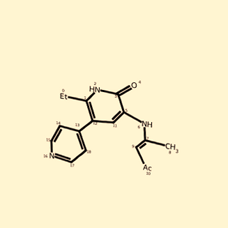 CCc1[nH]c(=O)c(NC(C)=CC(C)=O)cc1-c1ccncc1